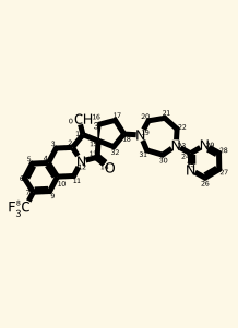 CC1C2Cc3ccc(C(F)(F)F)cc3CN2C(=O)[C@]12CCC(N1CCCN(c3ncccn3)CC1)C2